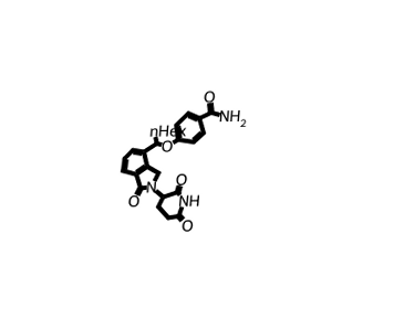 CCCCCCC(Oc1ccc(C(N)=O)cc1)c1cccc2c1CN(C1CCC(=O)NC1=O)C2=O